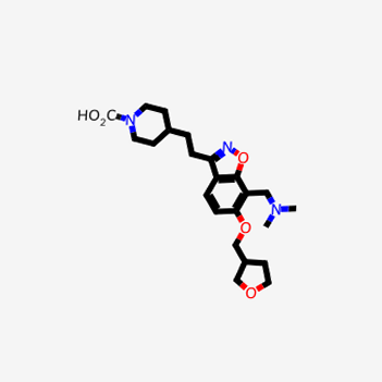 CN(C)Cc1c(OCC2CCOC2)ccc2c(CCC3CCN(C(=O)O)CC3)noc12